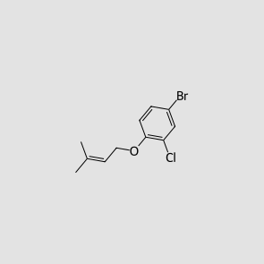 CC(C)=CCOc1ccc(Br)cc1Cl